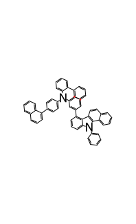 c1ccc(-c2ccccc2N(c2ccc(-c3cccc4ccccc34)cc2)c2cccc(-c3cccc4c3c3ccc5ccccc5c3n4-c3ccccc3)c2)cc1